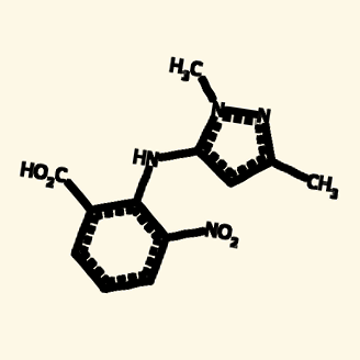 Cc1cc(Nc2c(C(=O)O)cccc2[N+](=O)[O-])n(C)n1